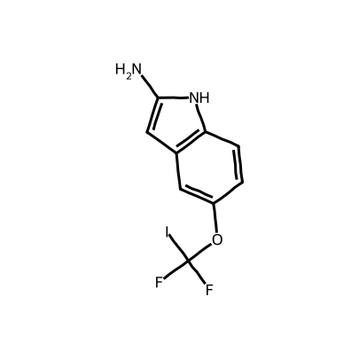 Nc1cc2cc(OC(F)(F)I)ccc2[nH]1